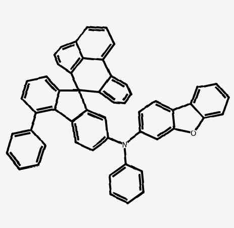 c1ccc(-c2cccc3c2-c2ccc(N(c4ccccc4)c4ccc5c(c4)oc4ccccc45)cc2C32c3ccccc3-c3cccc4cccc2c34)cc1